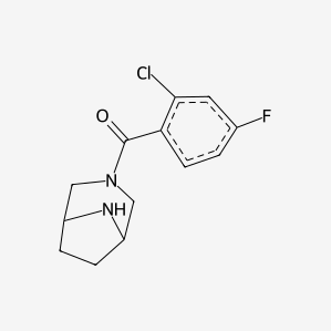 O=C(c1ccc(F)cc1Cl)N1CC2CCC(C1)N2